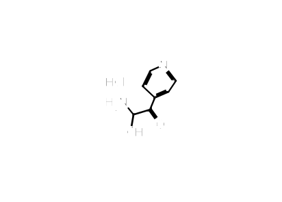 CC(N)C(=O)c1ccncc1.Cl